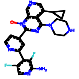 Nc1ncc(F)c(-c2cc(-c3nc(N4CCNCC4)c4c(C5CC5)cncc4[n+]3[O-])ccn2)c1F